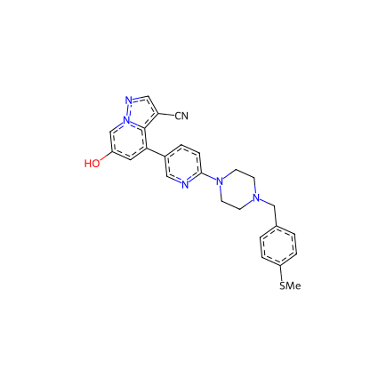 CSc1ccc(CN2CCN(c3ccc(-c4cc(O)cn5ncc(C#N)c45)cn3)CC2)cc1